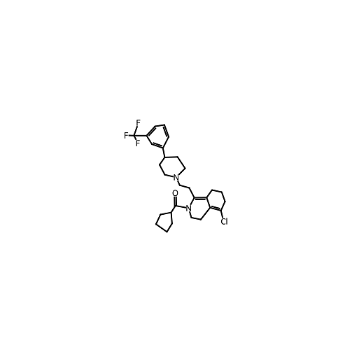 O=C(C1CCCC1)N1CCC2=C(Cl)CCCC2=C1CCN1CCC(c2cccc(C(F)(F)F)c2)CC1